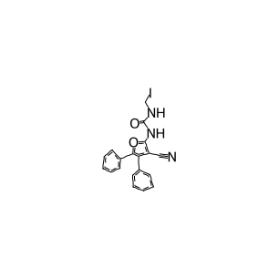 N#Cc1c(NC(=O)NCI)oc(-c2ccccc2)c1-c1ccccc1